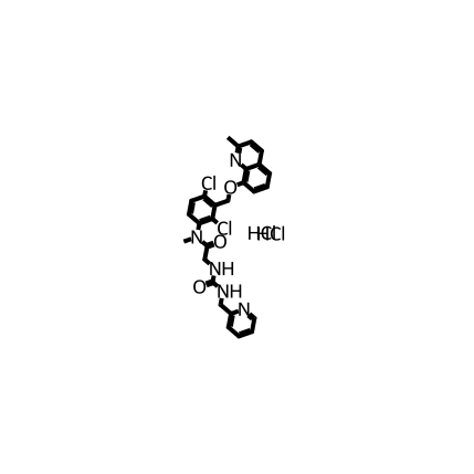 Cc1ccc2cccc(OCc3c(Cl)ccc(N(C)C(=O)CNC(=O)NCc4ccccn4)c3Cl)c2n1.Cl.Cl